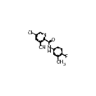 Cc1cc(NC(=O)c2ncc(Cl)cc2C#N)ccc1F